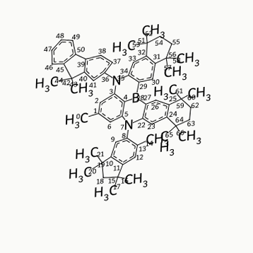 Cc1cc2c3c(c1)N(c1cc4c(cc1C)C(C)(C)CC4(C)C)c1cc4c(cc1B3c1cc3c(cc1N2c1ccc2c(c1)C(C)(C)c1ccccc1-2)C(C)(C)CCC3(C)C)C(C)(C)CCC4(C)C